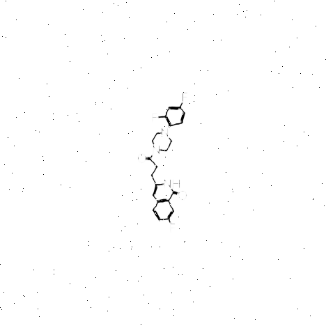 O=C(CCc1cc2ccc(F)cc2c(=O)[nH]1)N1CCN(c2ccc(F)cc2F)CC1